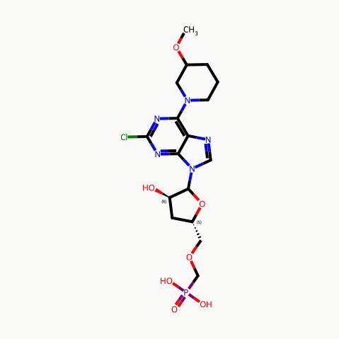 COC1CCCN(c2nc(Cl)nc3c2ncn3C2O[C@H](COCP(=O)(O)O)C[C@H]2O)C1